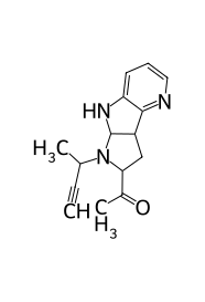 C#CC(C)N1C(C(C)=O)CC2c3ncccc3NC21